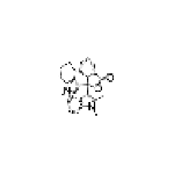 Cc1c(C2(c3c(C)n(C)c4ccc#cc34)OC(=O)c3ccccc32)c2c(n1C)C=CCC2